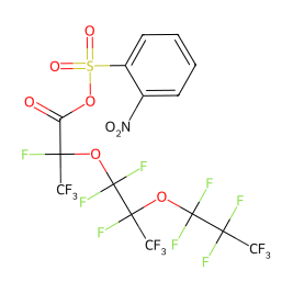 O=C(OS(=O)(=O)c1ccccc1[N+](=O)[O-])C(F)(OC(F)(F)C(F)(OC(F)(F)C(F)(F)C(F)(F)F)C(F)(F)F)C(F)(F)F